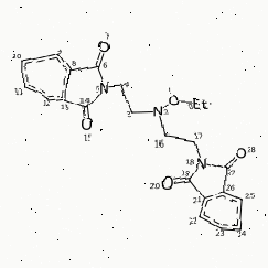 C[CH]ON(CCN1C(=O)c2ccccc2C1=O)CCN1C(=O)c2ccccc2C1=O